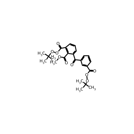 COC(=O)c1c(C(=O)OOC(C)(C)C)cccc1C(=O)c1cccc(C(=O)OOC(C)(C)C)c1